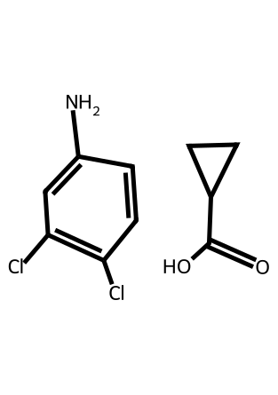 Nc1ccc(Cl)c(Cl)c1.O=C(O)C1CC1